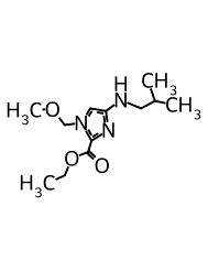 CCOC(=O)c1nc(NCC(C)C)cn1COC